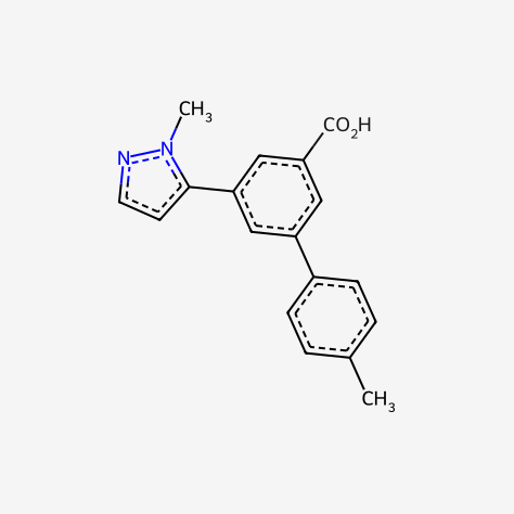 Cc1ccc(-c2cc(C(=O)O)cc(-c3ccnn3C)c2)cc1